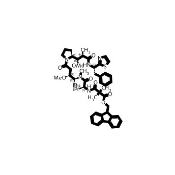 CC[C@H](C)[C@@H]([C@@H](CC(=O)N1CCC[C@H]1[C@H](OC)[C@@H](C)C(=O)N[C@@H](Cc1ccccc1)c1nccs1)OC)N(C)C(=O)[C@@H](NC(=O)C(C)(C)C(=O)OCC1c2ccccc2-c2ccccc21)C(C)C